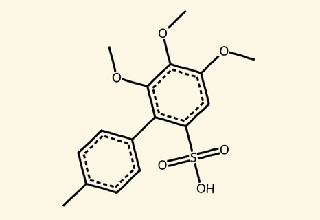 COc1cc(S(=O)(=O)O)c(-c2ccc(C)cc2)c(OC)c1OC